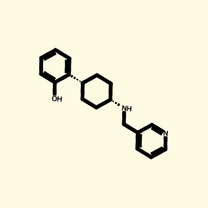 Oc1ccccc1[C@H]1CC[C@@H](NCc2cccnc2)CC1